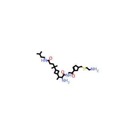 CC(C)CCNC(=O)CCC(C)(C)C1CC(C(C)C(N)C(=O)NCC(=O)C2=CCC(CSCCN)C2)C1